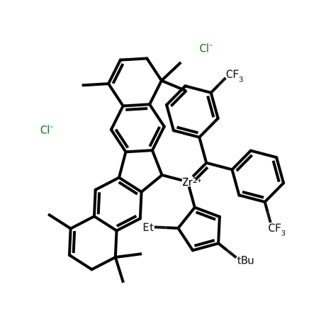 CCC1C=C(C(C)(C)C)C=[C]1[Zr+2](=[C](c1cccc(C(F)(F)F)c1)c1cccc(C(F)(F)F)c1)[CH]1c2cc3c(cc2-c2cc4c(cc21)C(C)(C)CC=C4C)C(C)=CCC3(C)C.[Cl-].[Cl-]